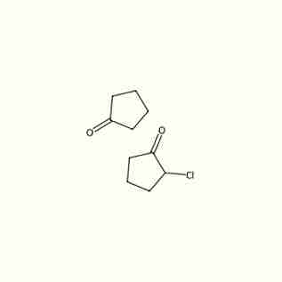 O=C1CCCC1.O=C1CCCC1Cl